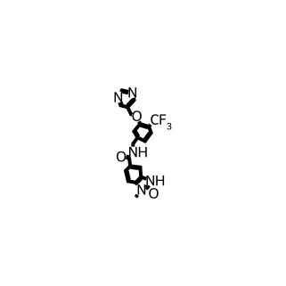 Cn1c(=O)[nH]c2cc(C(=O)NCc3ccc(C(F)(F)F)c(OCc4cncnc4)c3)ccc21